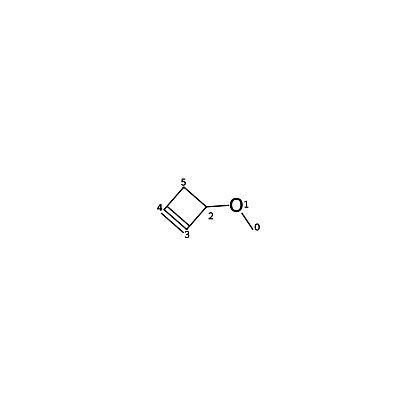 COC1C#CC1